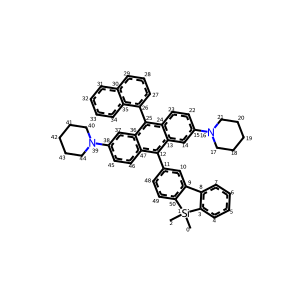 C[Si]1(C)c2ccccc2-c2cc(-c3c4cc(N5CCCCC5)ccc4c(-c4cccc5ccccc45)c4cc(N5CCCCC5)ccc34)ccc21